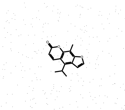 Cc1c2occc2c(C(C)C)c2ccc(=O)oc12